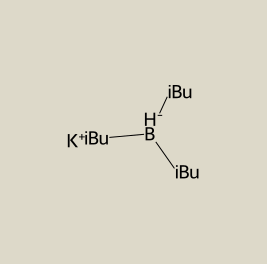 CCC(C)[BH-](C(C)CC)C(C)CC.[K+]